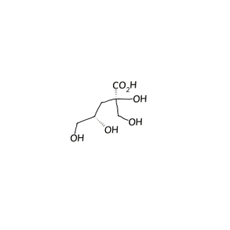 O=C(O)[C@](O)(CO)C[C@H](O)CO